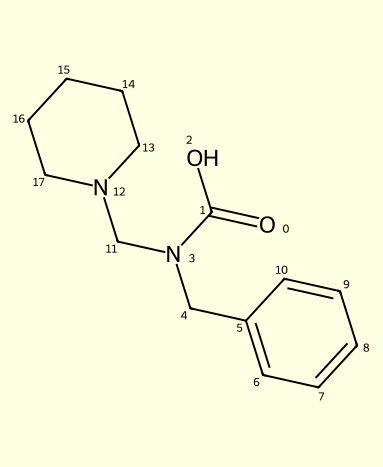 O=C(O)N(Cc1ccccc1)CN1CCCCC1